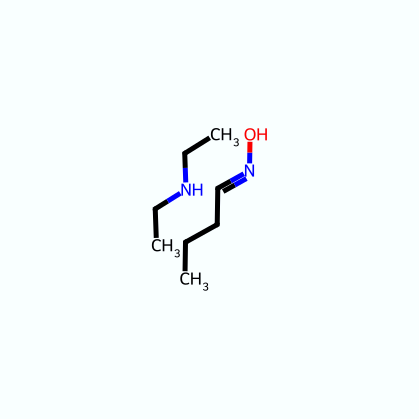 CCCC=NO.CCNCC